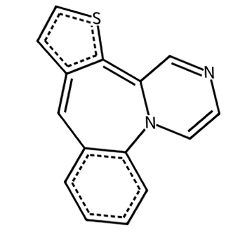 C1=CN2C(=c3sccc3=Cc3ccccc32)C=N1